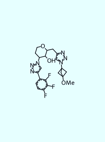 COC12CC(n3cc(CC4OCCC(n5cc(-c6ccc(F)c(F)c6F)nn5)C4O)nn3)(C1)C2